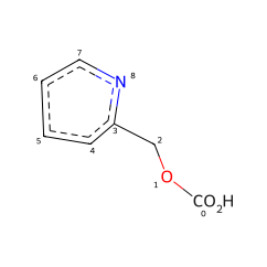 O=C(O)OCc1ccccn1